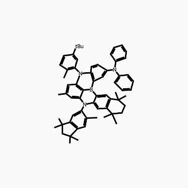 Cc1cc2c3c(c1)N(c1cc4c(cc1C)C(C)(C)CC4(C)C)c1cc4c(cc1B3c1cc(N(c3ccccc3)c3ccccc3)ccc1N2c1cc(C(C)(C)C)ccc1C)C(C)(C)CCC4(C)C